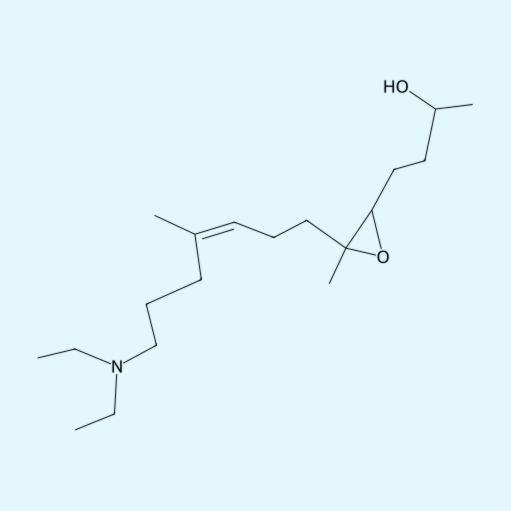 CCN(CC)CCC/C(C)=C\CCC1(C)OC1CCC(C)O